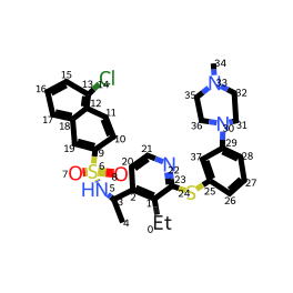 CCc1c(C(C)NS(=O)(=O)c2ccc3c(Cl)cccc3c2)ccnc1Sc1cccc(N2CCN(C)CC2)c1